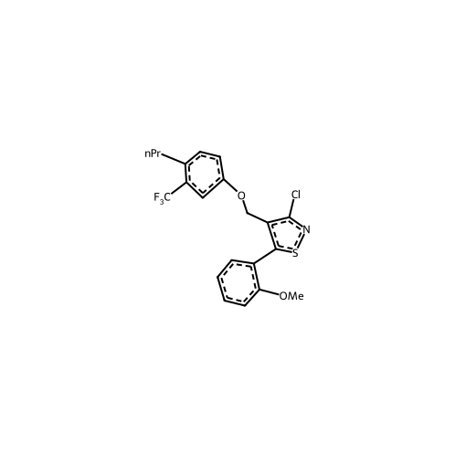 CCCc1ccc(OCc2c(Cl)nsc2-c2ccccc2OC)cc1C(F)(F)F